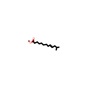 COC(=O)CCCCCCC/C=C/CC(C)C